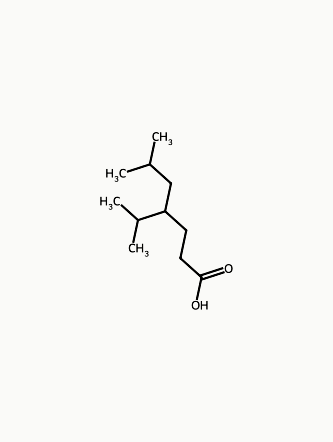 CC(C)CC(CCC(=O)O)C(C)C